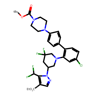 CCOC(=O)c1cnn(C2CN(c3cc(Cl)ccc3-c3ccc(N4CCN(C(=O)OC(C)(C)C)CC4)cc3)CC(F)(F)C2)c1C(F)F